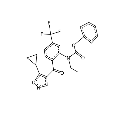 CCN(C(=O)Oc1ccccc1)c1cc(C(F)(F)F)ccc1C(=O)c1cnoc1C1CC1